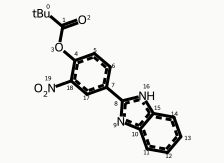 CC(C)(C)C(=O)Oc1ccc(-c2nc3ccccc3[nH]2)cc1[N+](=O)[O-]